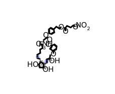 O=C(CCC/C=C\C[C@@H]1[C@@H](/C=C/[C@@H](O)COc2cccc(C(F)(F)F)c2)[C@H](O)C[C@@H]1O)NCC(=O)Oc1ccc(CCOC(=O)CCCO[N+](=O)[O-])cc1